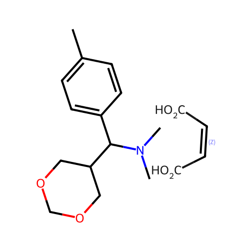 Cc1ccc(C(C2COCOC2)N(C)C)cc1.O=C(O)/C=C\C(=O)O